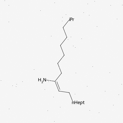 CCCCCCCC/C=C(/N)CCCCCCC(C)C